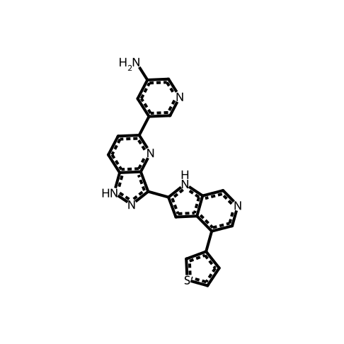 Nc1cncc(-c2ccc3[nH]nc(-c4cc5c(-c6ccsc6)cncc5[nH]4)c3n2)c1